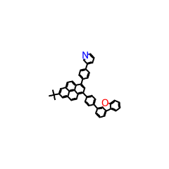 CC(C)(C)c1cc2ccc3c(-c4ccc(-c5cccnc5)cc4)cc(-c4ccc(-c5cccc6c5oc5ccccc56)cc4)c4ccc(c1)c2c34